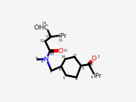 CC(C)C(=O)C1CCC(CN(C)C(=O)CC(C=O)C(C)C)CC1